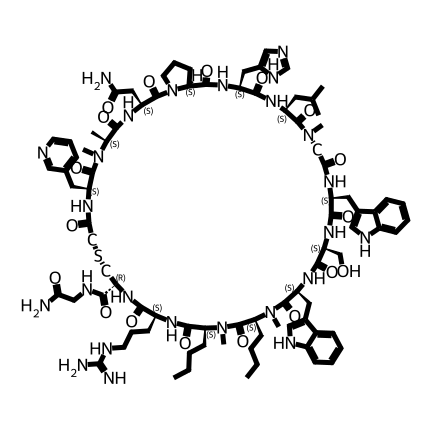 CCCC[C@H]1C(=O)N(C)[C@@H](CCCC)C(=O)N[C@@H](CCCNC(=N)N)C(=O)N[C@H](C(=O)NCC(N)=O)CSCC(=O)N[C@@H](Cc2cccnc2)C(=O)N(C)[C@@H](C)C(=O)N[C@@H](CC(N)=O)C(=O)N2CCC[C@H]2C(=O)N[C@@H](Cc2cnc[nH]2)C(=O)N[C@@H](CC(C)C)C(=O)N(C)CC(=O)N[C@@H](Cc2c[nH]c3ccccc23)C(=O)N[C@@H](CO)C(=O)N[C@@H](Cc2c[nH]c3ccccc23)C(=O)N1C